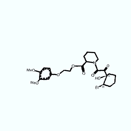 CC[C@@H]1CCCC[C@@]1(O)C(=O)C(=O)N1CCCCC1C(=O)OCCOc1ccc(OC)c(OC)c1